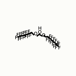 OC(COCCC(F)(F)C(F)(F)C(F)(F)C(F)(F)C(F)(F)C(F)(F)F)COCCC(F)(F)C(F)(F)C(F)(F)C(F)(F)C(F)(F)C(F)(F)F